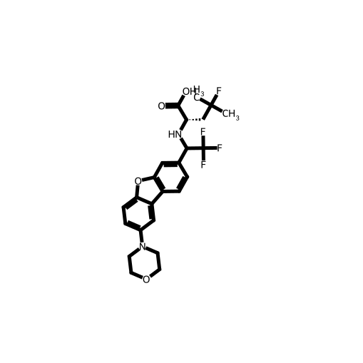 CC(C)(F)C[C@H](NC(c1ccc2c(c1)oc1ccc(N3CCOCC3)cc12)C(F)(F)F)C(=O)O